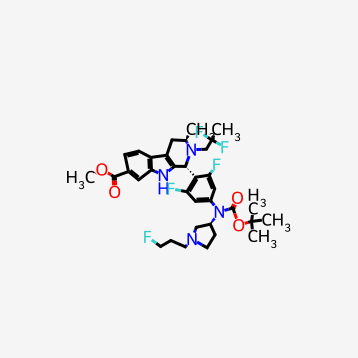 COC(=O)c1ccc2c3c([nH]c2c1)[C@@H](c1c(F)cc(N(C(=O)OC(C)(C)C)[C@H]2CCN(CCCF)C2)cc1F)N(CC(C)(F)F)[C@H](C)C3